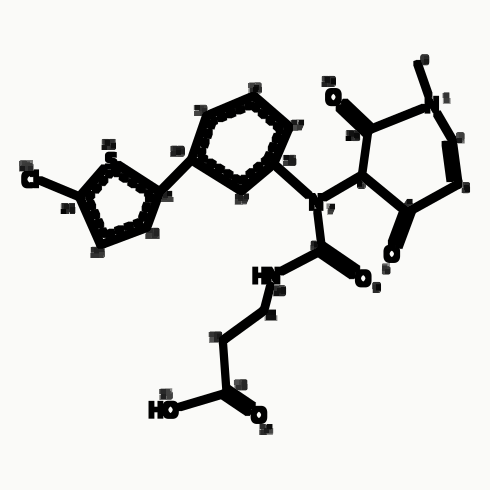 CN1C=CC(=O)C(N(C(=O)NCCC(=O)O)c2cccc(-c3ccc(Cl)s3)c2)C1=O